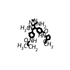 C=C(C)C(=O)Nc1ccc(-c2c(-c3ccc(C(=O)NC4CCCC4OC)cc3)c3c(N)ncnc3n2C)cc1